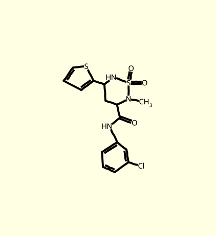 CN1C(C(=O)Nc2cccc(Cl)c2)CC(c2cccs2)NS1(=O)=O